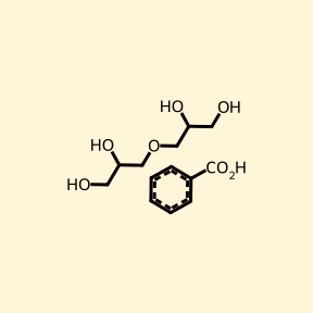 O=C(O)c1ccccc1.OCC(O)COCC(O)CO